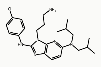 CC(C)CN(CC(C)C)c1ccc2nc(Nc3ccc(Cl)cc3)n(CCCN)c2n1